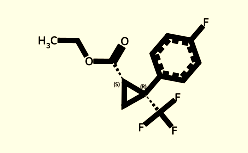 CCOC(=O)[C@H]1C[C@@]1(c1ccc(F)cc1)C(F)(F)F